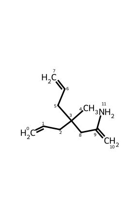 C=CCC(C)(CC=C)CC(=C)N